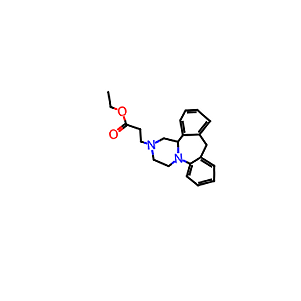 CCOC(=O)CCN1CCN2c3ccccc3Cc3ccccc3C2C1